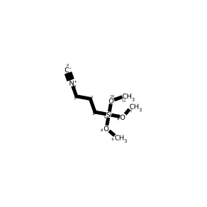 [C-]#[N+]CCC[Si](OC)(OC)OC